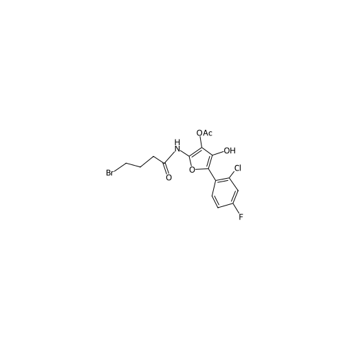 CC(=O)Oc1c(NC(=O)CCCBr)oc(-c2ccc(F)cc2Cl)c1O